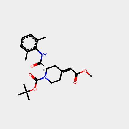 COC(=O)C=C1CCN(C(=O)OC(C)(C)C)[C@H](C(=O)Nc2c(C)cccc2C)C1